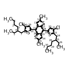 CCCCC(CC)Cc1sc(-c2c3cc(C)sc3c(-c3cc(Cl)c(CC(CC)CCCC)s3)c3cc(C)sc23)cc1Cl